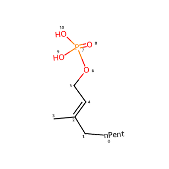 CCCCCCC(C)=CCOP(=O)(O)O